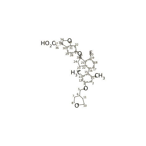 Cc1cc(OCC2CCOCC2)cc(C)c1-c1ccc(F)c2c1CC[C@H]2Oc1ccc2c(c1)OC[C@H]2CC(=O)O